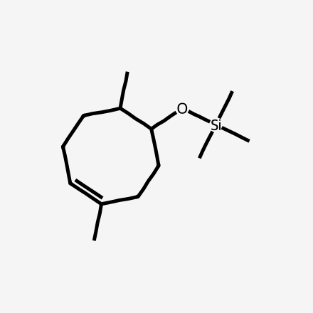 CC1=CCCC(C)C(O[Si](C)(C)C)CC1